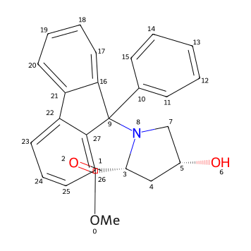 COC(=O)[C@H]1C[C@@H](O)CN1C1(c2ccccc2)c2ccccc2-c2ccccc21